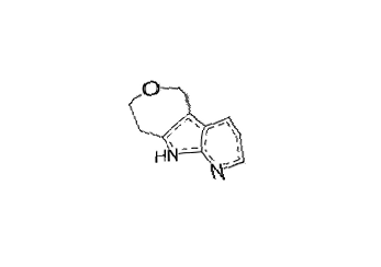 c1cnc2[nH]c3c(c2c1)COCC3